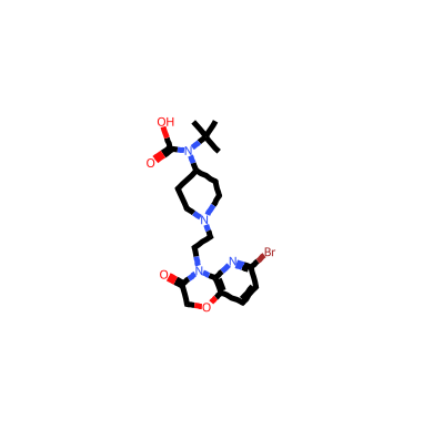 CC(C)(C)N(C(=O)O)C1CCN(CCN2C(=O)COc3ccc(Br)nc32)CC1